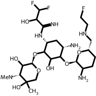 CN[C@@H]1C(O)[C@@H](OC2C(O)C(O[C@H]3O[C@H](CNCCF)CCC3N)[C@@H](N)C[C@H]2NC(=N)C(O)C(F)F)OCC1(C)O